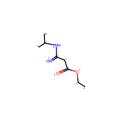 CCOC(=O)CC(=N)NC(C)C